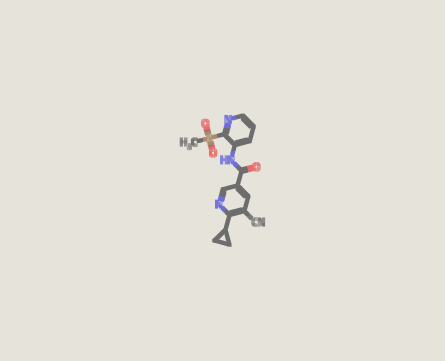 CS(=O)(=O)c1ncccc1NC(=O)c1cnc(C2CC2)c(C#N)c1